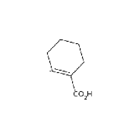 O=C(O)C1=[C]CCCC1